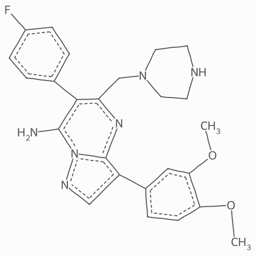 COc1ccc(-c2cnn3c(N)c(-c4ccc(F)cc4)c(CN4CCNCC4)nc23)cc1OC